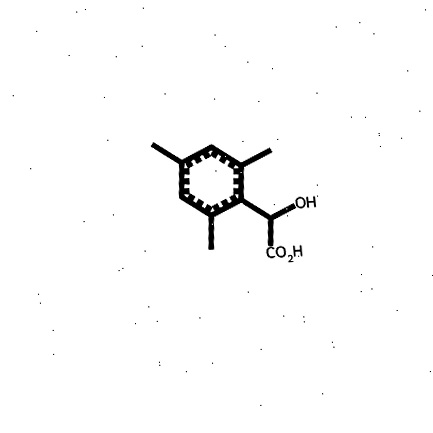 Cc1cc(C)c(C(O)C(=O)O)c(C)c1